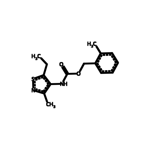 CCc1snc(C)c1NC(=O)OCc1ccccc1C